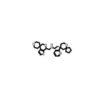 c1ccc([C@]2(CCNCC3OCC4(CCOCC4)c4ccsc43)CCOC3(CCCC3)C2)nc1